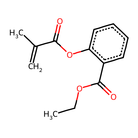 C=C(C)C(=O)Oc1ccccc1C(=O)OCC